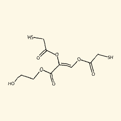 O=C(CS)OC=C(OC(=O)CS)C(=O)OCCO